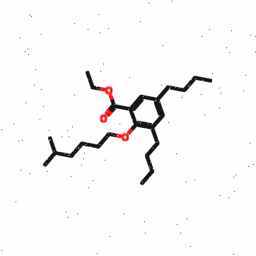 CCCCc1cc(CCCC)c(OCCCCC(C)C)c(C(=O)OCC)c1